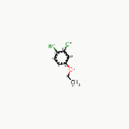 CCOc1ccc(Br)c(Cl)c1